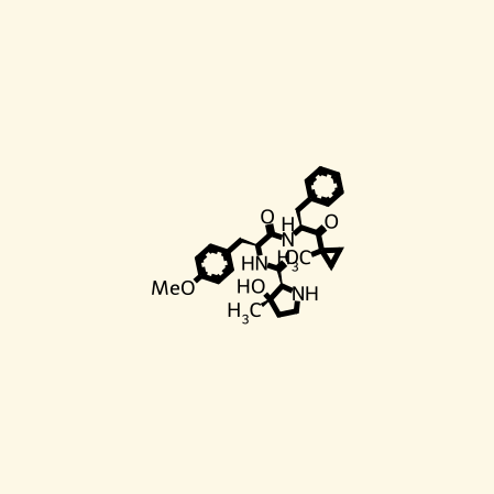 COc1ccc(C[C@H](NC(=O)[C@H]2NCC[C@]2(C)O)C(=O)N[C@@H](Cc2ccccc2)C(=O)C2(C)CC2)cc1